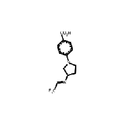 O=C(O)c1ccc(N2CCC(N=CC(F)(F)F)C2)cc1